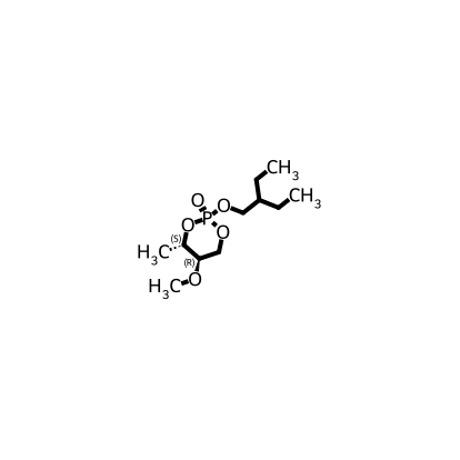 CCC(CC)COP1(=O)OC[C@@H](OC)[C@H](C)O1